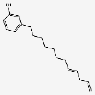 C=CCC=CCCCCCCCc1cccc(O)c1